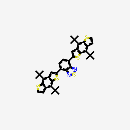 CC(C)(C)c1c2cc(-c3ccc(-c4cc5c(C(C)(C)C)c6sccc6c(C(C)(C)C)c5s4)c4nsnc34)sc2c(C(C)(C)C)c2ccsc12